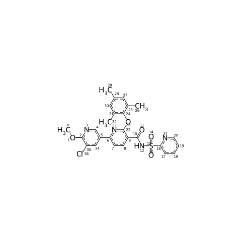 COc1ncc(-c2ccc(C(=O)NS(=O)(=O)c3ccccn3)c(Oc3c(C)cc(C)cc3C)n2)cc1Cl